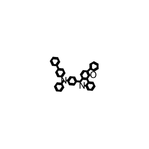 c1ccc(-c2ccc(N(c3ccccc3)c3ccc(-c4nc5ccccc5c5c4ccc4c6ccccc6oc45)cc3)cc2)cc1